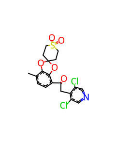 Cc1ccc(C(=O)Cc2c(Cl)cncc2Cl)c2c1OC1(CCS(=O)(=O)CC1)O2